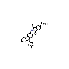 Cc1ccc(N2c3ccc(/C=C4\C(=O)c5ccc(C(=O)O)cc5C4=O)cc3C3CCCCC32)o1